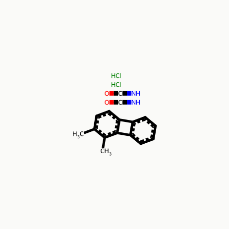 Cc1ccc2c(c1C)-c1ccccc1-2.Cl.Cl.N=C=O.N=C=O